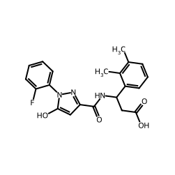 Cc1cccc(C(CC(=O)O)NC(=O)c2cc(O)n(-c3ccccc3F)n2)c1C